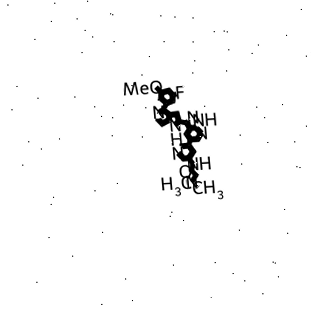 COc1cc(F)cc(-c2nccc3[nH]c(-c4n[nH]c5ncc(-c6cncc(NC(=O)CN(C)C)c6)cc45)cc23)c1